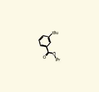 CC(C)OC(=O)c1cccc(C(C)(C)C)c1